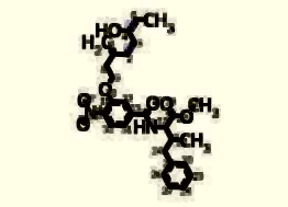 C=C(/C=C\C(O)=C/C)CCOc1cc(C(=O)NC(C(=O)OC)C(C)Cc2ccccc2)ccc1[N+](=O)[O-]